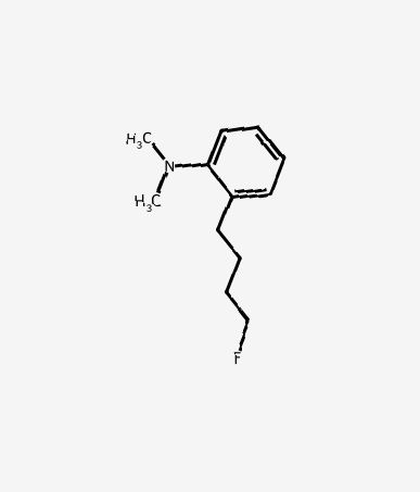 CN(C)c1ccccc1CCCCF